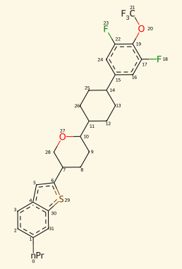 CCCc1ccc2cc(C3CCC(C4CCC(c5cc(F)c(OC(F)(F)F)c(F)c5)CC4)OC3)sc2c1